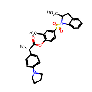 CC[C@H](C(=O)Oc1ccc(S(=O)(=O)N2c3ccccc3CC2C(=O)O)cc1C)c1ccc(N2CCCC2)cc1